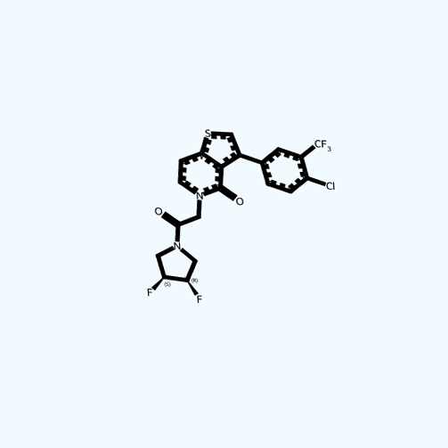 O=C(Cn1ccc2scc(-c3ccc(Cl)c(C(F)(F)F)c3)c2c1=O)N1C[C@@H](F)[C@@H](F)C1